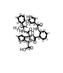 CC(C)(NC(=O)C1(NC(=O)c2ccccc2NC(=O)c2cc[nH]c2)NN(C(=O)O)c2sccc21)c1ccccc1